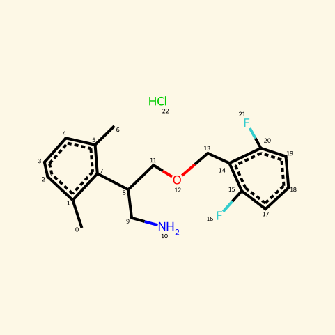 Cc1cccc(C)c1C(CN)COCc1c(F)cccc1F.Cl